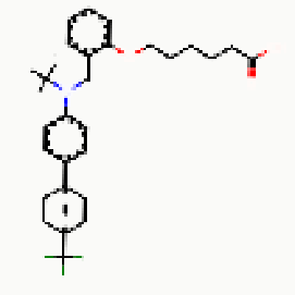 [2H]C(C)(C)N(Cc1ccccc1OCCCCCC(=O)O)c1ccc(C23CCC(C(F)(F)F)(CC2)CC3)cc1